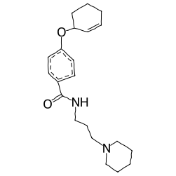 O=C(NCCCN1CCCCC1)c1ccc(OC2C=CCCC2)cc1